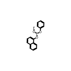 FOP(Oc1ccccc1)Oc1cccc2ccccc12